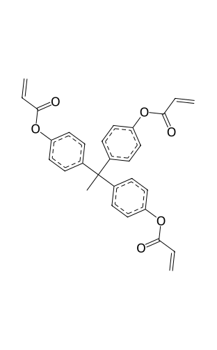 C=CC(=O)Oc1ccc(C(C)(c2ccc(OC(=O)C=C)cc2)c2ccc(OC(=O)C=C)cc2)cc1